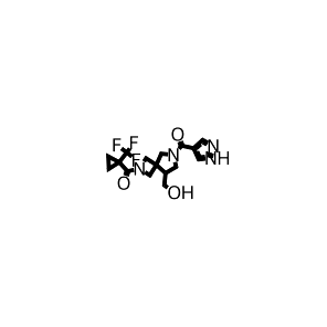 O=C(c1cn[nH]c1)N1CC(CO)C2(C1)CN(C(=O)C1(C(F)(F)F)CC1)C2